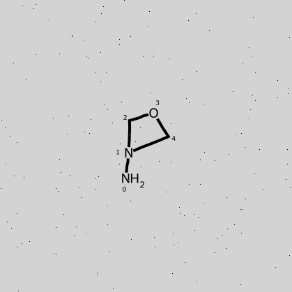 NN1COC1